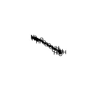 [N-]=[N+]=Nc1ccc2cc(/C=C/C(=O)NCCOCCOCCOCCOCCNC(=O)CCCC[C@@H]3SC[C@@H]4NC(=O)N[C@@H]43)ccc2c1